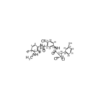 CNc1c(F)ccc(NC(=O)c2cc(NC(=O)C3C(c4cccc(I)c4)C3(Cl)Cl)ccc2Cl)c1F